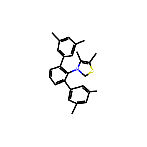 CC1=C(C)N(c2c(-c3cc(C)cc(C)c3)cccc2-c2cc(C)cc(C)c2)CS1